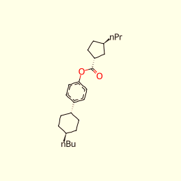 CCCC[C@H]1CC[C@H](c2ccc(OC(=O)[C@@H]3CC[C@@H](CCC)C3)cc2)CC1